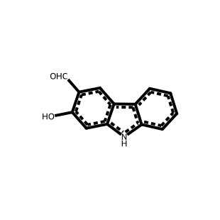 O=Cc1cc2c(cc1O)[nH]c1ccccc12